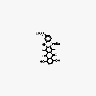 CCCCOc1c(F)c2c(c(F)c1Nc1cccc(C(=O)OCC)c1)C(=O)c1c(O)ccc(O)c1C2=O